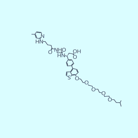 Cc1ccnc(NCCCC(=O)NCC(=O)N[C@@H](CC(=O)O)c2ccc(-c3ccc(OCCOCCOCCOCCOCCC(C)C)c4sccc34)cc2)c1